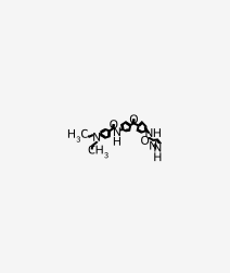 CCCN(CCC)c1ccc(C(=O)Nc2ccc(C(=O)c3ccc(NC(=O)c4cc[nH]n4)cc3)cc2)cc1